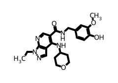 CCn1ncc2c(NC3CCOCC3)c(C(=O)NCc3ccc(O)c(OC)c3)cnc21